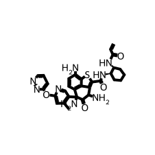 C=CC(=O)N[C@H]1CCCC[C@H]1NC(=O)c1sc2c(N)ccc3c2c1C(N)C(=O)C3(N)c1cnc(Oc2cccnn2)cc1C